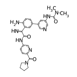 CN(C)C(=O)Nc1cncc(-c2ccc(N)c(C(=N)C(=O)Nc3ccc(C(=O)N4CCCC4)nc3)c2)c1